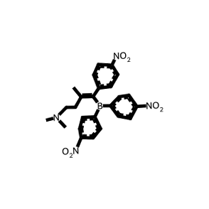 C/C(CCN(C)C)=C(/B(c1ccc([N+](=O)[O-])cc1)c1ccc([N+](=O)[O-])cc1)c1ccc([N+](=O)[O-])cc1